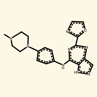 CN1CCN(c2ccc(Nc3nc(-c4ncco4)nc4cn[nH]c34)cc2)CC1